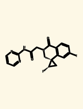 O=C(CN1C[C@@]2(C[C@@H]2F)c2cc(I)ccc2C1=O)Nc1ncccn1